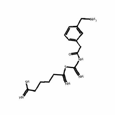 N=C(S)CCCCC(=N)SC(=N)NC(=O)Cc1cccc(CN)c1